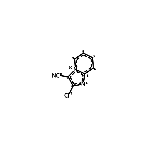 N#Cc1c(Cl)nc2ccccn12